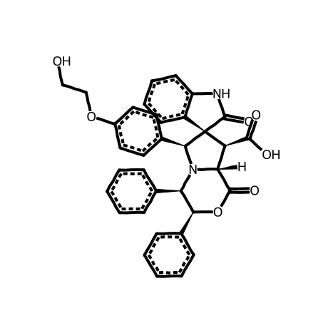 O=C1O[C@@H](c2ccccc2)[C@@H](c2ccccc2)N2[C@@H](c3ccc(OCCO)cc3)[C@]3(C(=O)Nc4ccccc43)[C@@H](C(=O)O)[C@H]12